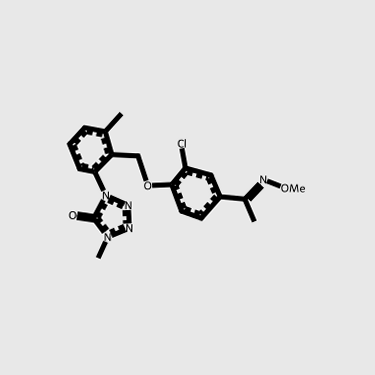 CON=C(C)c1ccc(OCc2c(C)cccc2-n2nnn(C)c2=O)c(Cl)c1